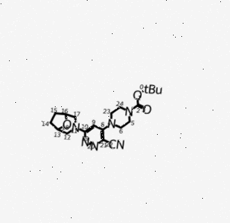 CC(C)(C)OC(=O)N1CCN(c2cc(N3CC4CCC(C3)O4)nnc2C#N)CC1